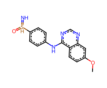 COc1ccc2c(Nc3ccc([SH](=N)=O)cc3)ncnc2c1